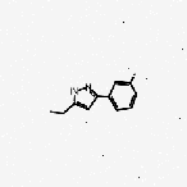 CCc1cc(-c2cccc(C)c2)n[nH]1